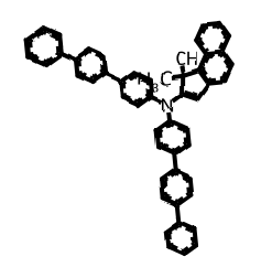 CC1(C)C(N(c2ccc(-c3ccc(-c4ccccc4)cc3)cc2)c2ccc(-c3ccc(-c4ccccc4)cc3)cc2)=Cc2ccc3ccccc3c21